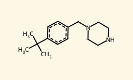 CC(C)(C)c1ccc(CN2[CH]CNCC2)cc1